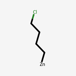 ClCCC[CH2][Zn]